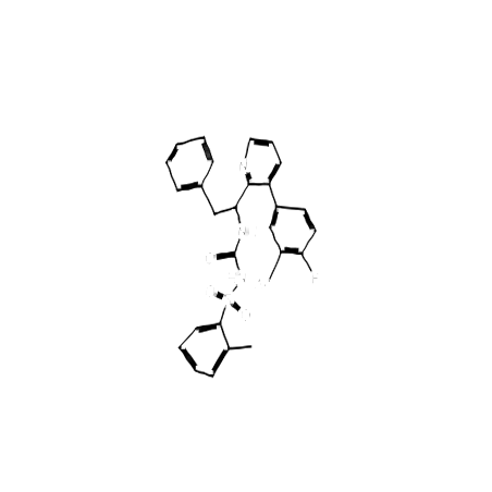 CC(=O)c1cc(-c2cccnc2C(Cc2ccccc2)NC(=O)NS(=O)(=O)c2ccccc2C)ccc1F